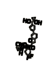 N#CC1(NC(=O)C2(NC(=O)c3cc4ccc(-c5ccc(C(O)C6(O)CC6)cc5)cc4o3)CCC(F)(F)CC2)CC1